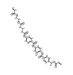 [CH2]C(OC(=O)C=C)c1ccc(C(=O)Oc2ccc(OC(=O)c3ccc(OC(=O)CCCC(=O)OCCOC(=O)C=C)cc3)cc2C)cc1